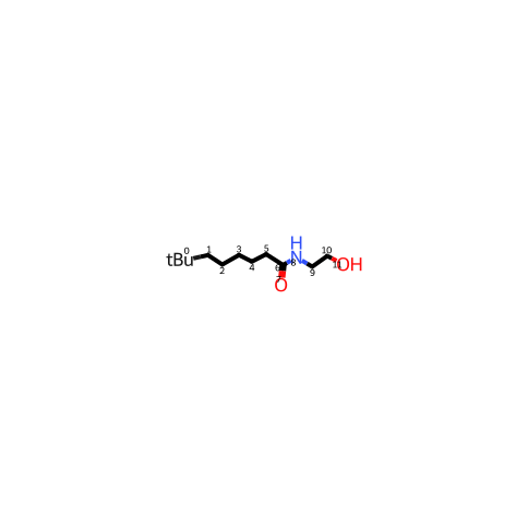 CC(C)(C)CCCCCC(=O)NCCO